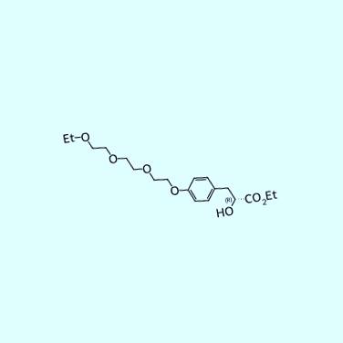 CCOCCOCCOCCOc1ccc(C[C@@H](O)C(=O)OCC)cc1